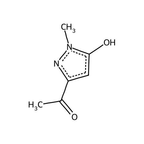 CC(=O)c1cc(O)n(C)n1